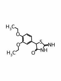 CCOc1ccc(C2SC(=N)NC2=O)cc1OCC